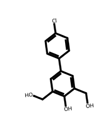 OCc1cc(-c2ccc(Cl)cc2)cc(CO)c1O